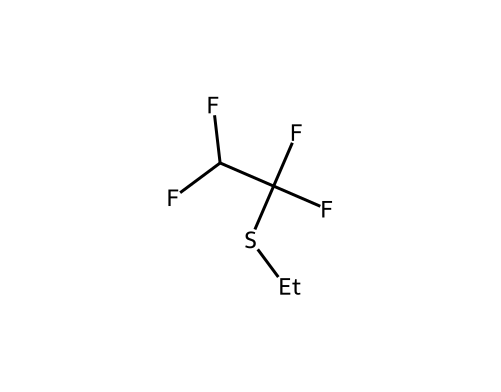 [CH2]CSC(F)(F)C(F)F